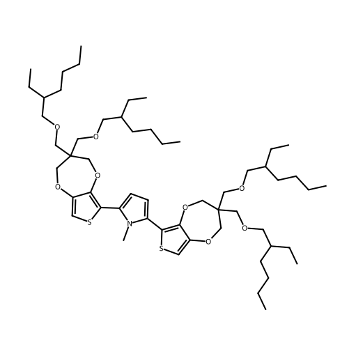 CCCCC(CC)COCC1(COCC(CC)CCCC)COc2csc(-c3ccc(-c4scc5c4OCC(COCC(CC)CCCC)(COCC(CC)CCCC)CO5)n3C)c2OC1